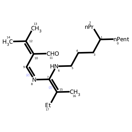 CCCCCC(CCC)CCCNC(/N=C\C(C=O)=C(C)C)=C(\C)CC